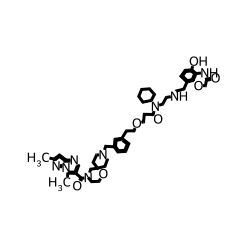 Cc1cc2ncc(C(=O)N3CCOC4(CCN(Cc5cccc(CCOCCC(=O)N(CCNCCc6ccc(O)c7c6OCC(=O)N7)C6CCCCC6)c5)CC4)C3)c(C)n2n1